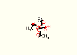 CC1COC1CO[Si](CCC(=O)O)(OCC1OCC1C)OCC1OCC1C